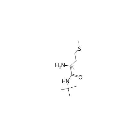 CSCC[C@H](N)C(=O)NC(C)(C)C